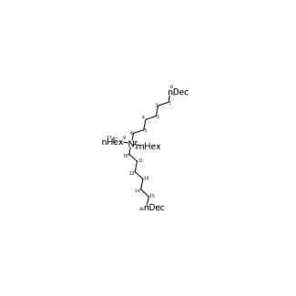 CCCCCCCCCCCCCCCC[N+](CCCCCC)(CCCCCC)CCCCCCCCCCCCCCCC.[I-]